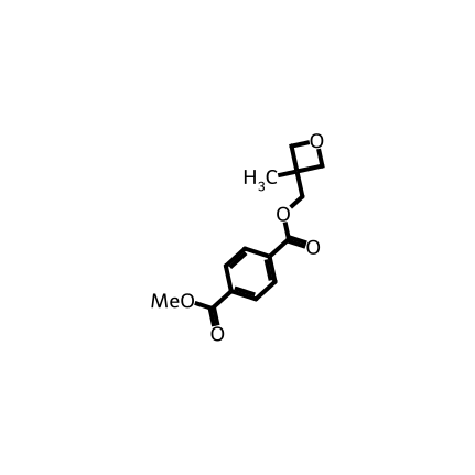 COC(=O)c1ccc(C(=O)OCC2(C)COC2)cc1